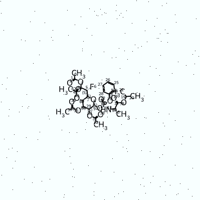 CC(=O)OC[C@H](F)[C@H]1O[C@@H](O[P@](=O)(N[C@@H](C)C(=O)OC(C)C)Oc2ccccc2)[C@@H](OC(C)=O)[C@@H](OC(C)=O)[C@@H]1OC(C)=O